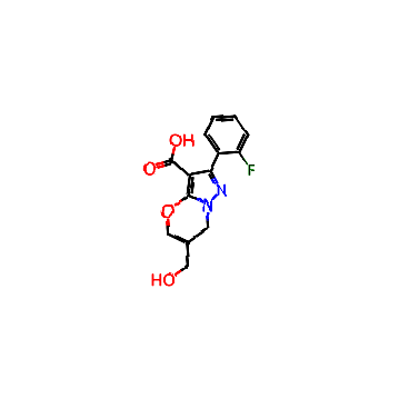 O=C(O)c1c(-c2ccccc2F)nn2c1OCC(CO)C2